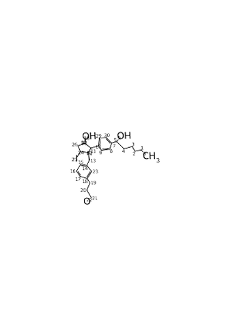 CCCCCC(O)c1ccc(C2[C@@H](Cc3cccc(CCC=O)c3)C(I)C[C@H]2O)cc1